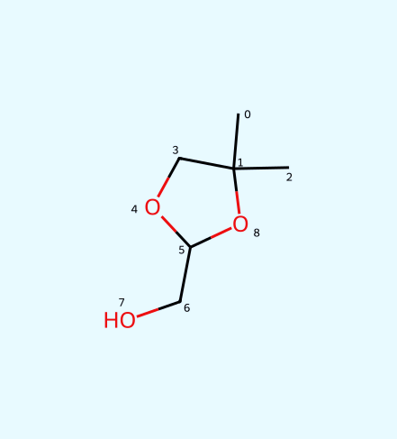 CC1(C)COC(CO)O1